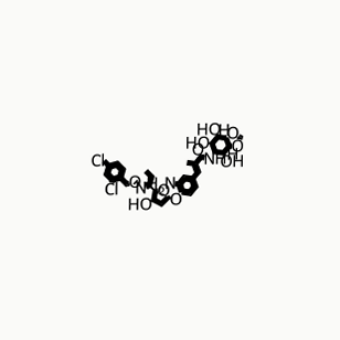 CCC(=NOCc1ccc(Cl)cc1Cl)[C@H]1O[C@@H](Oc2ccc(C=C(C)C(=O)N[C@@H]3[C@H](O)[C@@H](O)[C@H]4OCO[C@H]4[C@@H]3O)cc2N)C[C@@H]1O